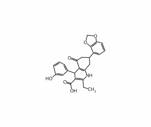 CCC1=C(C(=O)O)C(c2cccc(O)c2)C2=C(CC(c3cccc4c3OCO4)CC2=O)N1